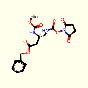 CC(C)(C)OC(=O)N[C@H](CNC(=O)ON1C(=O)CCC1=O)CC(=O)OCc1ccccc1